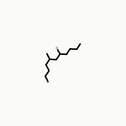 CCCCC(C)CC([O])CCCC